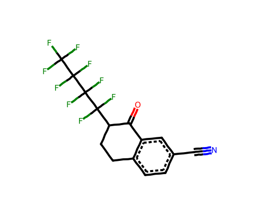 N#Cc1ccc2c(c1)C(=O)C(C(F)(F)C(F)(F)C(F)(F)C(F)(F)F)CC2